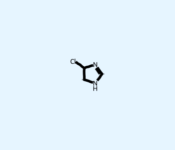 ClC1[CH]N[C]=N1